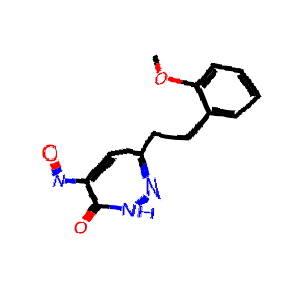 COc1ccccc1CCc1cc(N=O)c(=O)[nH]n1